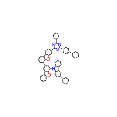 c1ccc(-c2ccc(-c3nc(-c4ccccc4)nc(-c4ccc5c(c4)oc4c(-c6cc(-n7c8ccccc8c8cc(-c9ccccc9)ccc87)c7oc8ccccc8c7c6)cccc45)n3)cc2)cc1